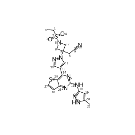 CCS(=O)(=O)N1CC(CC#N)(n2cc(-c3nc(Nc4cc(C)[nH]n4)nc4ccsc34)cn2)C1